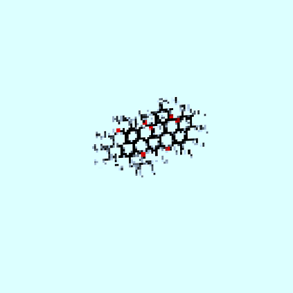 BBB(B)B(B(B)B)c1c(C)c(C)c(B(B)B(B)B)c2c(-c3c(C)c(C)c(C)c4c(-c5c(C)c(C)c(C)c6c(C)c(C)c(C)c(C)c56)c5c(C)c(C)c(C)c(C)c5c(C)c34)c(B(B)B)c(BB)c(B)c12